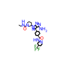 CCNC(=O)N1CCC[C@@H](n2nc(-c3ccc(C(=O)Nc4cc(C(F)(F)F)ccn4)cc3)c3c(N)ncnc32)C1